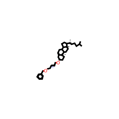 CC(C)CCC[C@@H](C)C1CCC2C3CC=C4C[C@@H](OC/C=C/CCOCc5ccccc5)CC[C@]4(C)C3CC[C@@]21C